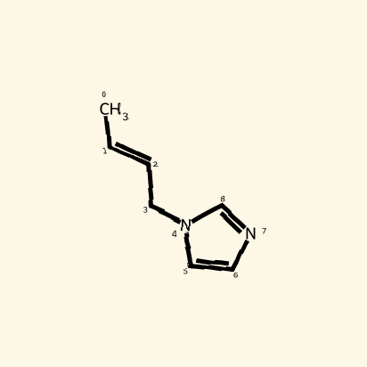 CC=CCn1ccnc1